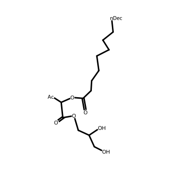 CCCCCCCCCCCCCCCCCC(=O)OC(C(C)=O)C(=O)OCC(O)CO